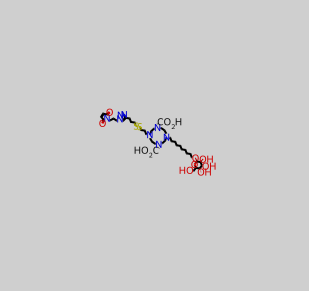 O=C(O)CN1CCCN(CCCSSCCCc2cn(CCCN3C(=O)C=CC3=O)nn2)CCN(CC(=O)O)CCCN(CCCCCCCCCCO[C@@H]2OC(CO)[C@@H](O)C(O)[C@@H]2O)CC1